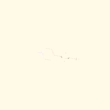 CC(C)C12CC(C3=CCN(C)CC3)(C1)C2